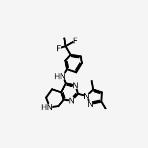 Cc1cc(C)n(-c2nc3c(c(Nc4cccc(C(C)(F)F)c4)n2)CCNC3)n1